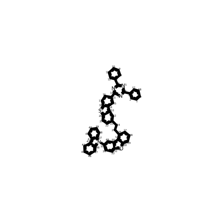 c1ccc(-c2nc(-c3ccccc3)nc(-c3ccc4sc5ccc(CCc6cccc7oc8ccc(-n9c%10ccccc%10c%10ccccc%109)cc8c67)cc5c4c3)n2)cc1